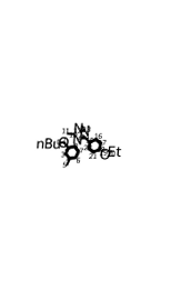 CCCCOc1cc(C)ccc1-n1c(C)nnc1-c1ccc(OCC)cc1